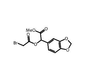 COC(=O)C(OC(=O)CBr)c1ccc2c(c1)OCO2